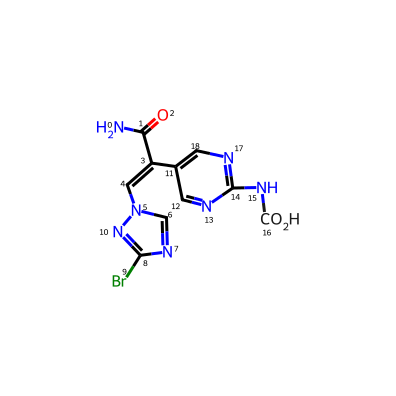 NC(=O)/C(=C/n1cnc(Br)n1)c1cnc(NC(=O)O)nc1